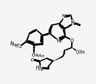 COc1ccc(-c2cc3ncn(C)c3c(O[C@H](CC[C@H]3CNC(=O)C3)OC)n2)cc1OC